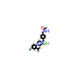 CC(=O)NCc1ccc(CN2CCN(c3ccc(F)cc3C(C)C)CC2)cc1.Cl